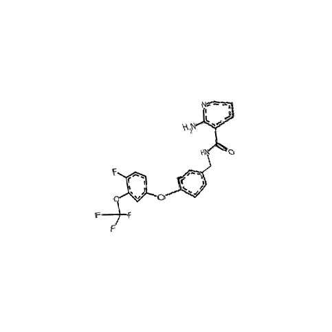 Nc1ncccc1C(=O)NCc1ccc(Oc2ccc(F)c(OC(F)(F)F)c2)cc1